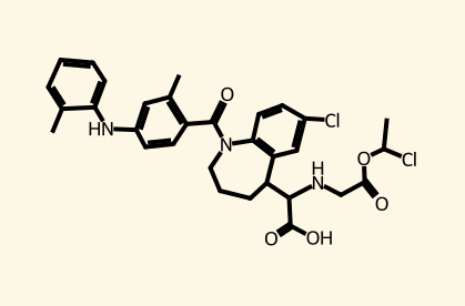 Cc1ccccc1Nc1ccc(C(=O)N2CCCC(C(NCC(=O)OC(C)Cl)C(=O)O)c3cc(Cl)ccc32)c(C)c1